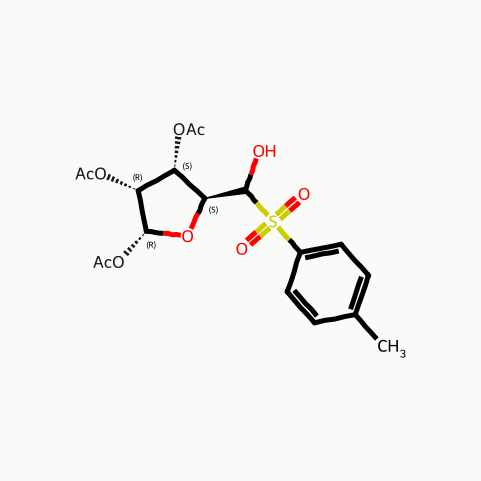 CC(=O)O[C@H]1O[C@H](C(O)S(=O)(=O)c2ccc(C)cc2)[C@@H](OC(C)=O)[C@H]1OC(C)=O